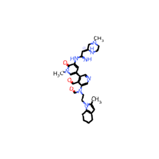 Cc1cc2c(n1CCN(C=O)c1cncc(-c3cc(NC(=N)/C=C4/CN(C)CCN4)c(=O)n(C)c3)c1C=O)CCCC2